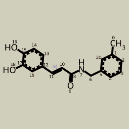 Cc1cccc(CNC(=O)/C=C/c2ccc(O)c(O)c2)c1